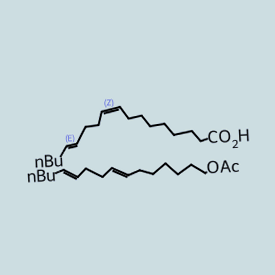 CCCC/C=C/CC/C=C\CCCCCCCC(=O)O.CCCCC=CCCC=CCCCCCCOC(C)=O